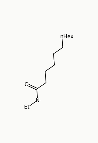 CCCCCCCCCCCC(=O)[N]CC